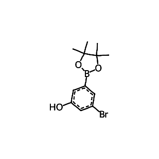 CC1(C)OB(c2cc(O)cc(Br)c2)OC1(C)C